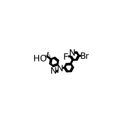 C[C@H](O)c1ccc2c(c1)ncn2-c1cccc(-c2cc(Br)cnc2F)c1